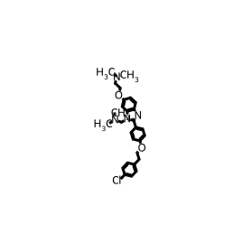 CN(C)CCOc1ccc2nc(-c3ccc(OCCc4ccc(Cl)cc4)cc3)n(CN(C)C)c2c1